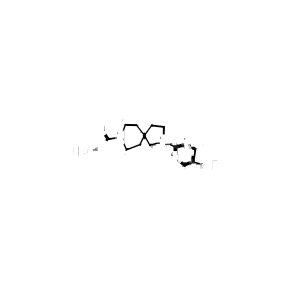 CC(C)(C)OC(=O)N1CCC2(CC1)CCN(c1ncc(C(F)(F)F)cn1)C2